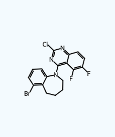 Fc1ccc2nc(Cl)nc(N3CCCCc4c(Br)cccc43)c2c1F